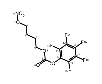 O=C(OCCCCO[N+](=O)[O-])Oc1c(F)c(F)c(F)c(F)c1F